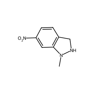 CN1NCc2ccc([N+](=O)[O-])cc21